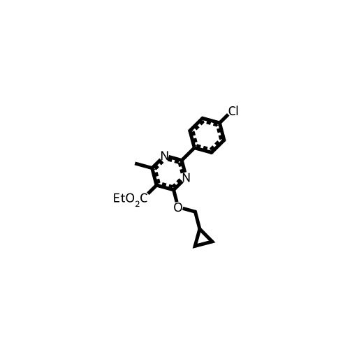 CCOC(=O)c1c(C)nc(-c2ccc(Cl)cc2)nc1OCC1CC1